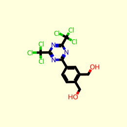 OCc1ccc(-c2nc(C(Cl)(Cl)Cl)nc(C(Cl)(Cl)Cl)n2)cc1CO